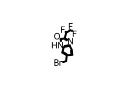 O=c1[nH]c2cc(CBr)ccc2nc1C(F)C(F)F